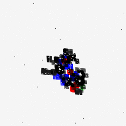 C=CC(=O)Nc1cc(Nc2ncc(C(=O)OC(C)C)c(-n3c(=O)n4c5c(cc(F)cc53)CCC4)n2)c(OC)cc1N(C)CCN(C)C